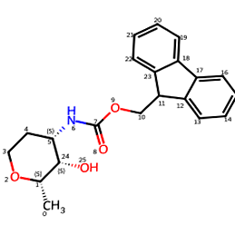 C[C@@H]1OCC[C@H](NC(=O)OCC2c3ccccc3-c3ccccc32)[C@@H]1O